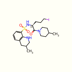 CC1CCN(C(=O)[C@H](CCCI)NS(=O)(=O)c2cccc3c2NCC(C)C3)CC1